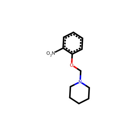 O=[N+]([O-])c1ccccc1OCN1CCCCC1